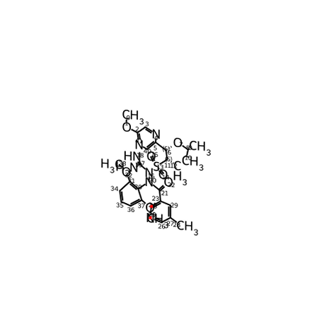 COc1cnc([C@H](OC(C)C)[C@H](C)S(=O)(=O)N(C(=N)N)N(C(=O)c2cncc(C)c2)c2c(OC)cccc2OC)cn1